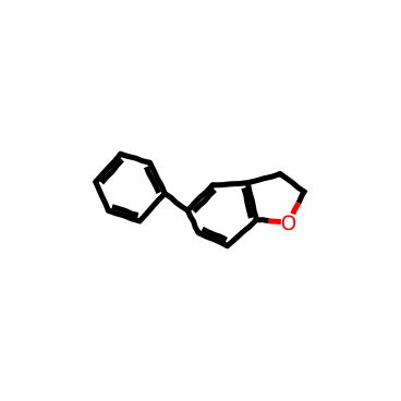 c1ccc(-c2ccc3c(c2)CCO3)cc1